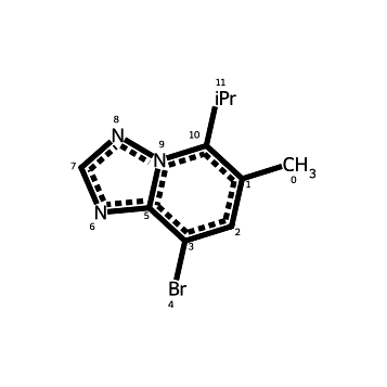 Cc1cc(Br)c2ncnn2c1C(C)C